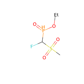 CCO[PH](=O)C(F)S(C)(=O)=O